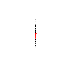 CCCCCCCCC=CCCCCCCCCOCCOC(=O)CCCCCCCC=CCCCCCCCC